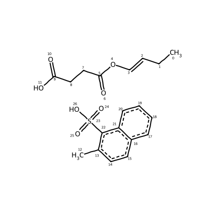 CCC=COC(=O)CCC(=O)O.Cc1ccc2ccccc2c1S(=O)(=O)O